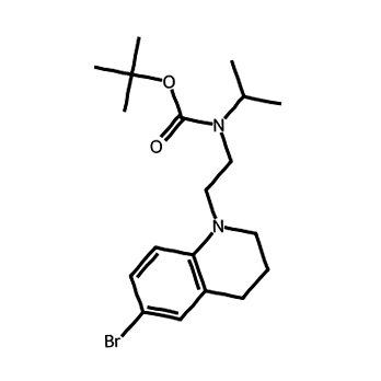 CC(C)N(CCN1CCCc2cc(Br)ccc21)C(=O)OC(C)(C)C